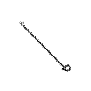 C=CCOCC(C)OCC(C)OCC(C)OCC(C)OCC(COc1ccccc1)OCCOCCOCCOCCOCCOCCOCCOCCOCCOCCOCCOCCOCCOCCOCCOCCOCCOCCOCCOCCOCCOCCOCCOCCOCCO